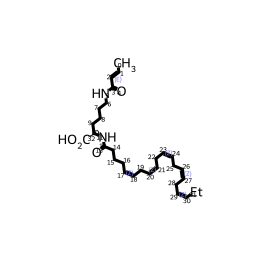 C/C=C/C(=O)NCCCC[C@H](NC(=O)CCC/C=C\C/C=C\C/C=C\C/C=C\C/C=C\CC)C(=O)O